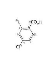 O=C(O)c1ncc(Cl)cc1I